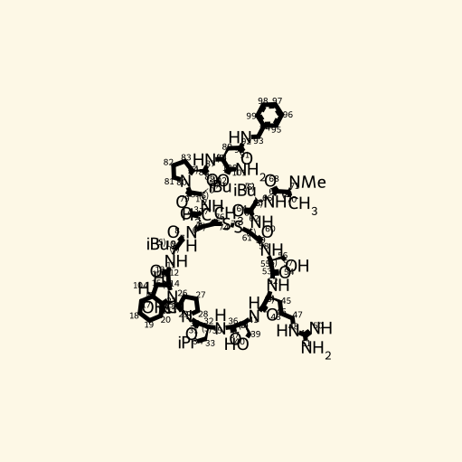 CC[C@@H](C)[C@H](NC(=O)[C@H]1NC(=O)[C@H]([C@@H](C)CC)NC(=O)[C@@H]2C[C@@H]3CCCC[C@]3(C)N2[C@]2(C=O)CCCN2C(=O)[C@H](CC(C)C)NC(=O)[C@H](CO)NC(=O)[C@H](CCCNC(=N)N)NC(=O)[C@H](CO)NC(=O)[C@@H](NC(=O)[C@@H](NC(=O)[C@H](C)NC)[C@@H](C)CC)SSC1(C)C)C(=O)N1CCC[C@H]1C(=O)N[C@@H](CC(=O)NCc1ccccc1)C(N)=O